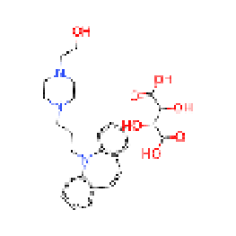 O=C(O)C(O)C(O)C(=O)O.OCCN1CCN(CCCN2c3ccccc3C=Cc3ccccc32)CC1